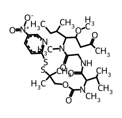 CCC(C)C(C(CC(C)=O)OC)N(C)C(=O)CNC(=O)C(C(C)C)N(C)C(=O)OCC(C)(C)SSc1ccc([N+](=O)[O-])cn1